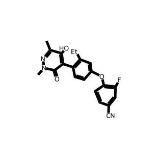 CCc1cc(Oc2ccc(C#N)cc2F)ccc1-c1c(O)c(C)nn(C)c1=O